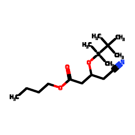 CCCCOC(=O)CC(CC#N)O[Si](C)(C)C(C)(C)C